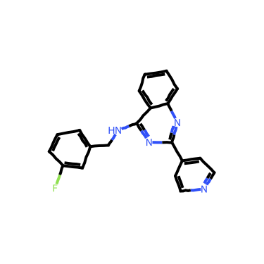 Fc1cccc(CNc2nc(-c3ccncc3)nc3ccccc23)c1